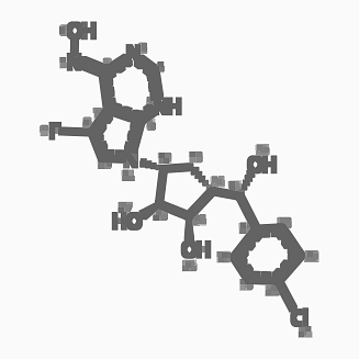 O/N=c1\nc[nH]c2c1c(F)cn2[C@@H]1C[C@H]([C@H](O)c2ccc(Cl)cc2)[C@@H](O)[C@H]1O